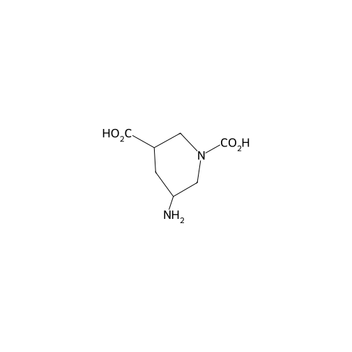 NC1CC(C(=O)O)CN(C(=O)O)C1